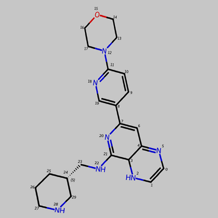 C1=CNC2C(=N1)C=C(c1ccc(N3CCOCC3)nc1)N=C2NC[C@H]1CCCNC1